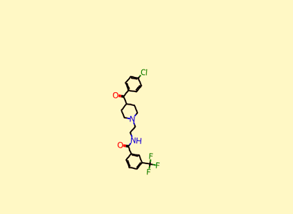 O=C(NCCN1CCC(C(=O)c2ccc(Cl)cc2)CC1)c1cccc(C(F)(F)F)c1